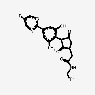 Cc1cc(-c2ncc(F)cn2)cc(C)c1C1C(=O)CC(CC(=O)NCC(C)C)C1=O